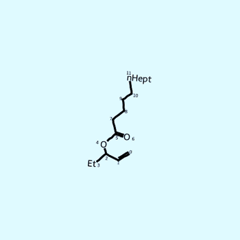 C=CC(CC)OC(=O)CCCCCCCCCCC